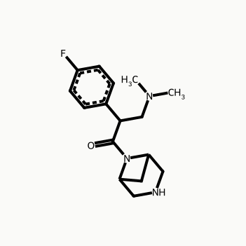 CN(C)CC(C(=O)N1C2CNCC1C2)c1ccc(F)cc1